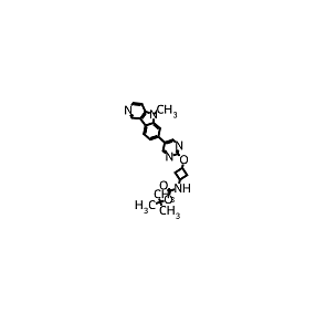 Cn1c2ccncc2c2ccc(-c3cnc(OC4CC(NC(=O)OC(C)(C)C)C4)nc3)cc21